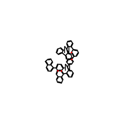 c1cc(-c2ccc(N(c3ccc(-c4cccc5ccccc45)cc3)c3ccccc3-c3cccc4ccccc34)cc2)cc(-c2ccccc2-n2c3ccccc3c3ccccc32)c1